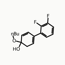 CCCCOC1(O)C=CC(c2cccc(F)c2F)=CC1